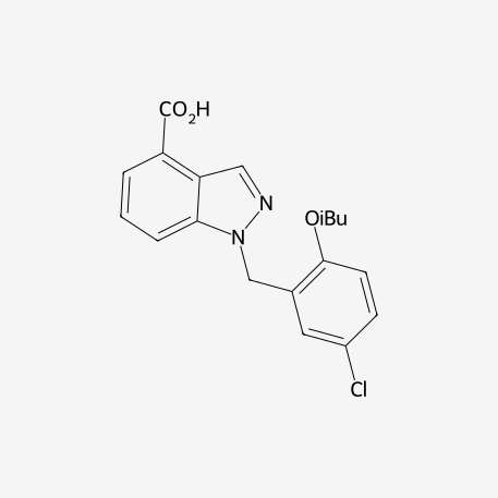 CC(C)COc1ccc(Cl)cc1Cn1ncc2c(C(=O)O)cccc21